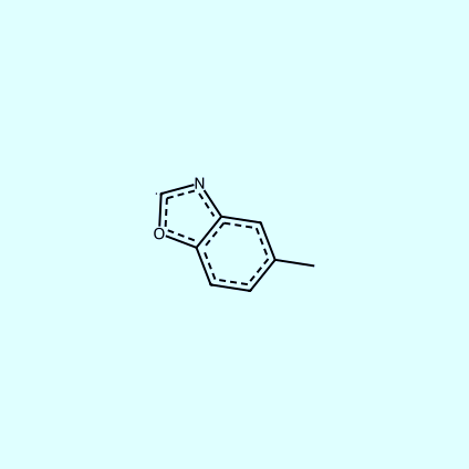 Cc1ccc2o[c]nc2c1